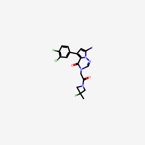 CC1(F)CN(C(=O)Cn2cnn3c(I)cc(-c4ccc(F)c(Cl)c4)c3c2=O)C1